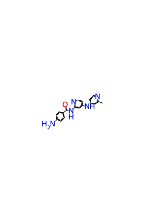 Cc1cc(Nc2ccnc(NC(=O)c3ccc(N)cc3)c2)ccn1